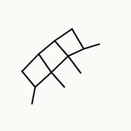 CC1CC2C3CC(C)C3(C)C12C